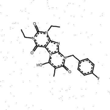 CCn1c(=O)c2c(nc3n(Cc4ccc(F)cc4)c(=O)c(C)c(O)n23)n(CC)c1=O